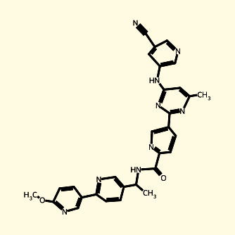 COc1ccc(-c2ccc(C(C)NC(=O)c3ccc(-c4nc(C)cc(Nc5cncc(C#N)c5)n4)cn3)cn2)cn1